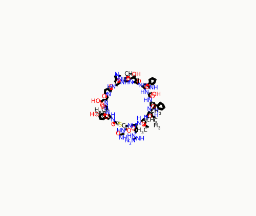 CCCC[C@H]1C(=O)N(C)[C@@H](CCCC)C(=O)N[C@@H](CCCNC(=N)N)C(=O)N[C@H](C(=O)NCC(N)=O)CSCC(=O)N[C@@H](Cc2ccc(O)cc2)C(=O)N(C)[C@H](C)C(=O)N[C@@H](CC(=O)O)C(=O)N2CCC[C@H]2C(=O)N[C@@H](Cc2cnc[nH]2)C(=O)N[C@@H](CC(C)C)C(=O)N2C[C@H](O)C[C@H]2C(=O)N[C@@H](Cc2c[nH]c3ccccc23)C(=O)N[C@@H](CO)C(=O)N[C@@H](Cc2c[nH]c3ccccc23)C(=O)N1C